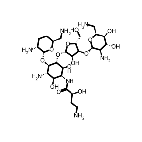 NCC[C@H](O)C(=O)N[C@@H]1[C@@H](O)[C@H](N)[C@@H](O[C@H]2O[C@H](CN)CC[C@H]2N)[C@H](O[C@@H]2O[C@H](CO)[C@@H](O[C@H]3O[C@@H](CN)[C@@H](O)[C@H](O)[C@H]3N)[C@H]2O)[C@H]1O